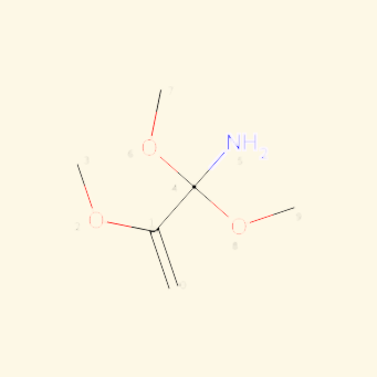 C=C(OC)C(N)(OC)OC